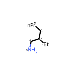 CCCC[C@@H](CC)CN